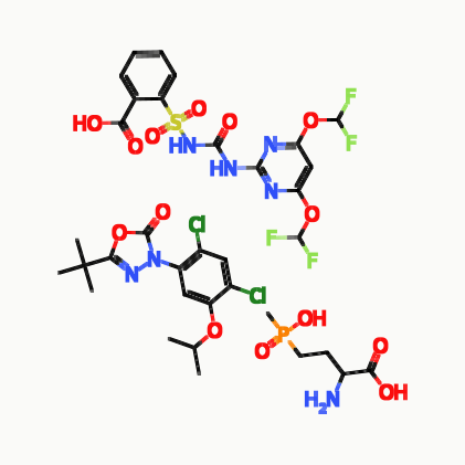 CC(C)Oc1cc(-n2nc(C(C)(C)C)oc2=O)c(Cl)cc1Cl.CP(=O)(O)CCC(N)C(=O)O.O=C(Nc1nc(OC(F)F)cc(OC(F)F)n1)NS(=O)(=O)c1ccccc1C(=O)O